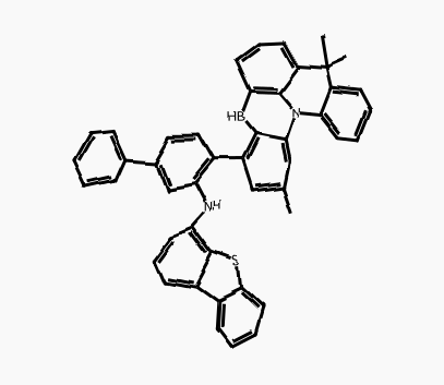 Cc1cc(-c2ccc(-c3ccccc3)cc2Nc2cccc3c2sc2ccccc23)c2c(c1)N1c3ccccc3C(C)(C)c3cccc(c31)B2